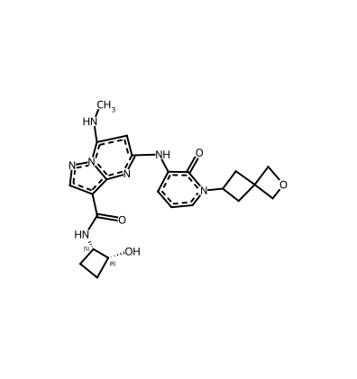 CNc1cc(Nc2cccn(C3CC4(COC4)C3)c2=O)nc2c(C(=O)N[C@H]3CC[C@H]3O)cnn12